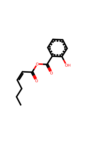 CCC/C=C\C(=O)OC(=O)c1ccccc1O